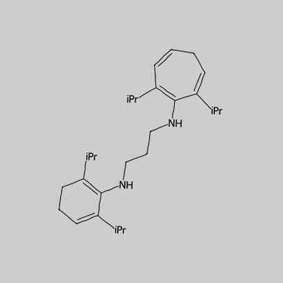 CC(C)C1=CCC=CC(C(C)C)=C1NCCCNC1=C(C(C)C)CCC=C1C(C)C